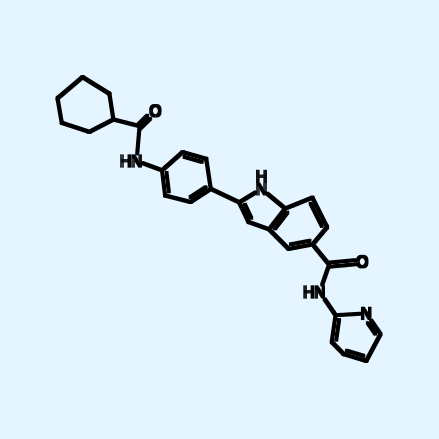 O=C(Nc1ccccn1)c1ccc2[nH]c(-c3ccc(NC(=O)C4CCCCC4)cc3)cc2c1